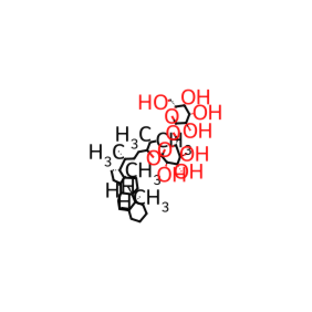 CC(C)C(CC[C@@H](C)[C@H]1CC[C@H]2[C@@H]3CC=C4CCCC[C@]4(C)[C@H]3CC[C@]12C)O[C@@H]1O[C@H](CO[C@@H]2O[C@H](CO)[C@@H](O)[C@H](O)[C@H]2O)[C@@H](O)[C@H](O)[C@H]1O